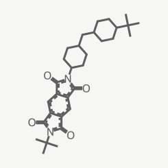 CC(C)(C)C1CCC(CC2CCC(n3c(=O)c4cc5c(=O)n(C(C)(C)C)c(=O)c5cc4c3=O)CC2)CC1